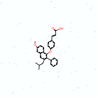 COc1ccc2c(Oc3ccc(C=CC(=O)O)cc3)c(-c3ccccc3)c(CC(C)C)cc2c1